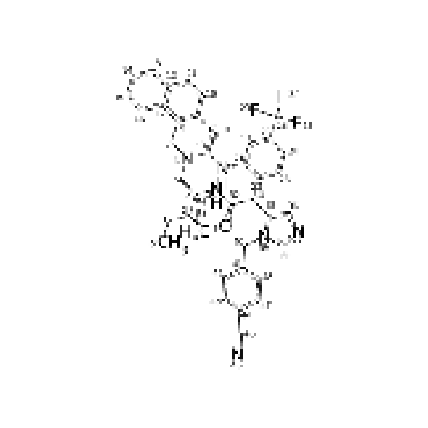 CC[C@H](C)[C@@H](CN(Cc1cccc2ccccc12)C(=S)Nc1cccc(C(F)(F)F)c1)NC(=O)Cc1cncn1Cc1ccc(C#N)cc1